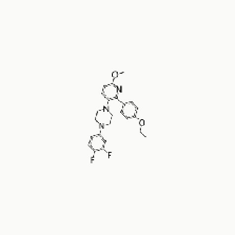 CCOc1ccc(-c2nc(OC)ccc2N2CCN(c3ccc(F)c(F)c3)CC2)cc1